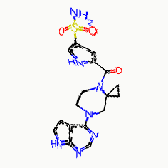 NS(=O)(=O)c1c[nH]c(C(=O)N2CCN(c3ncnc4[nH]ccc34)CC23CC3)c1